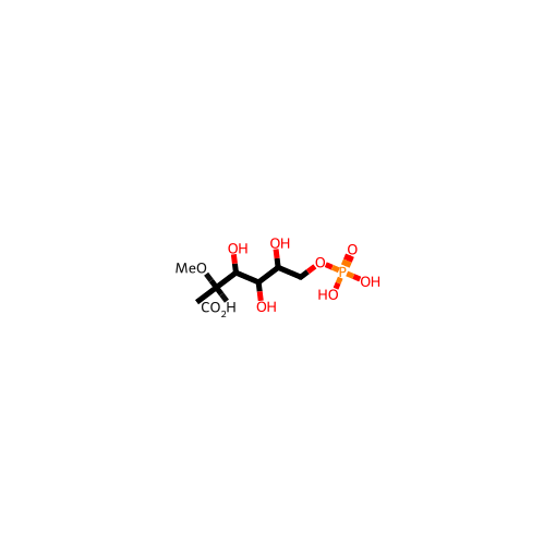 COC(C)(C(=O)O)C(O)C(O)C(O)COP(=O)(O)O